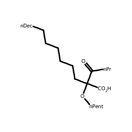 CCCCCCCCCCCCCCCCC(OCCCCC)(C(=O)O)C(=O)CCC